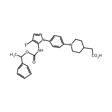 CC(OC(=O)Nc1c(F)cnn1-c1ccc(N2CCC(CC(=O)O)CC2)cc1)c1ccccc1